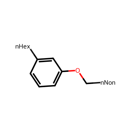 CCCCCCCCCCOc1cccc(CCCCCC)c1